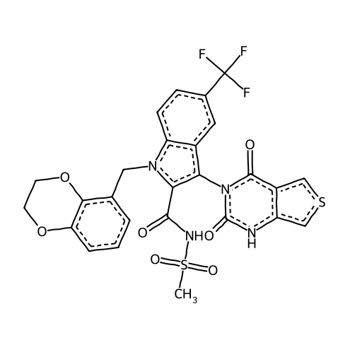 CS(=O)(=O)NC(=O)c1c(-n2c(=O)[nH]c3cscc3c2=O)c2cc(C(F)(F)F)ccc2n1Cc1cccc2c1OCCO2